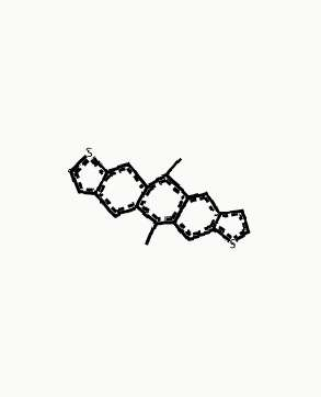 Cc1c2cc3ccsc3cc2c(C)c2cc3ccsc3cc12